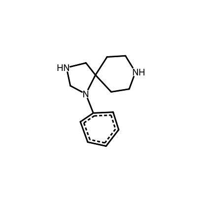 c1ccc(N2CNCC23CCNCC3)cc1